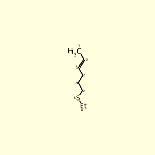 [CH2]CSCCCC=CC